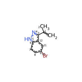 C=C(C)c1n[nH]c2ccc(Br)cc12